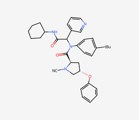 CC(C)(C)c1ccc(N(C(=O)[C@H]2C[C@H](Oc3ccccc3)CN2C#N)C(C(=O)NC2CCCCC2)c2cccnc2)cc1